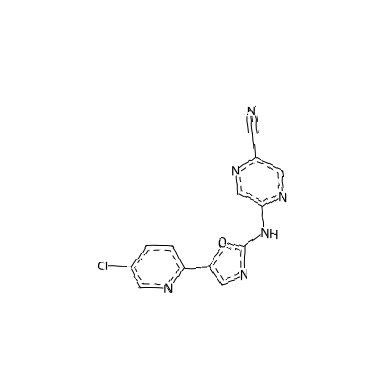 N#Cc1cnc(Nc2ncc(-c3ccc(Cl)cn3)o2)cn1